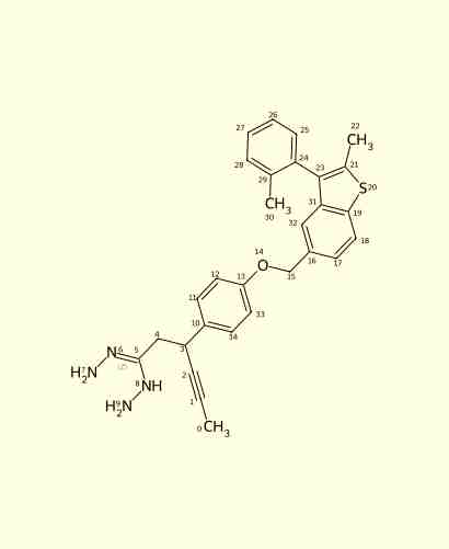 CC#CC(C/C(=N/N)NN)c1ccc(OCc2ccc3sc(C)c(-c4ccccc4C)c3c2)cc1